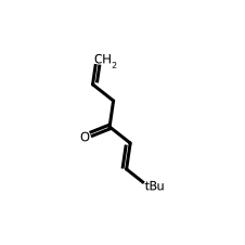 C=CCC(=O)C=CC(C)(C)C